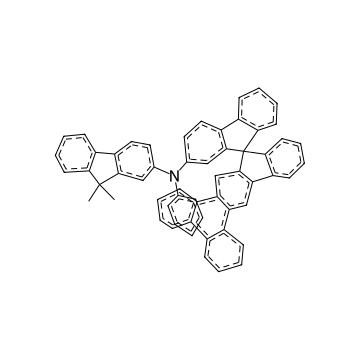 CC1(C)c2ccccc2-c2ccc(N(c3ccccc3)c3ccc4c(c3)C3(c5ccccc5-4)c4ccccc4-c4cc5c6ccccc6c6ccccc6c5cc43)cc21